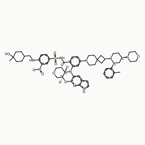 Cc1ccccc1[C@@H]1C[C@H](N2CCOCC2)CCN1C1CC2(CCN(c3ccc(C(=O)NS(=O)(=O)c4ccc(NCC5CCC(C)(O)CC5)c([N+](=O)[O-])c4)c(N4c5cc6cc[nH]c6nc5O[C@H]5COCC[C@@H]54)c3)CC2)C1